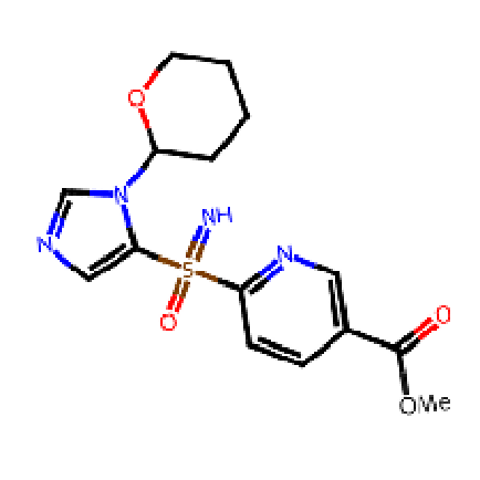 COC(=O)c1ccc(S(=N)(=O)c2cncn2C2CCCCO2)nc1